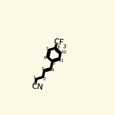 N#CCCC=Cc1ccc(C(F)(F)F)cc1